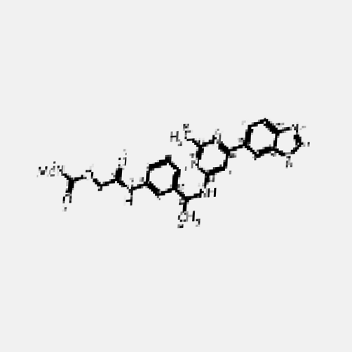 CNC(=O)OCC(=O)Nc1cccc(C(C)Nc2cc(-c3ccc4ncsc4c3)nc(C)n2)c1